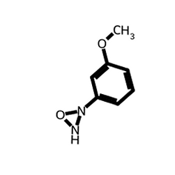 COc1cccc(-n2[nH]o2)c1